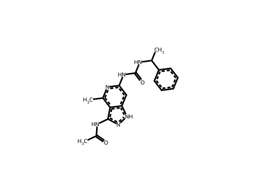 CC(=O)Nc1n[nH]c2cc(NC(=O)NC(C)c3ccccc3)nc(C)c12